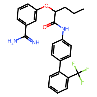 CCCC(Oc1cccc(C(=N)N)c1)C(=O)Nc1ccc(-c2ccccc2C(F)(F)F)cc1